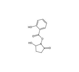 O=C(ON1C(=O)CCC1O)c1ccccc1O